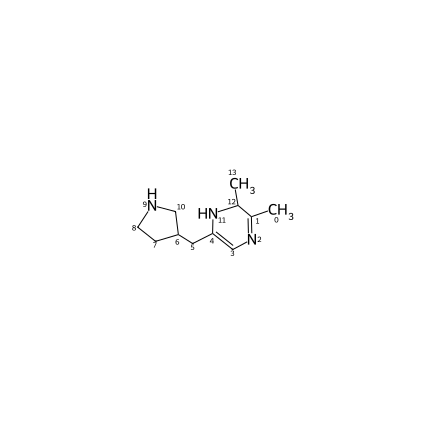 CC1=NC=C(CC2CCNC2)NC1C